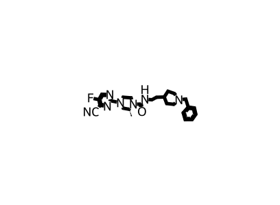 C[C@@H]1CN(c2ncc(F)c(C#N)n2)CCN1C(=O)NCCC1CCN(Cc2ccccc2)CC1